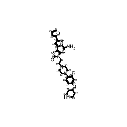 Nc1nc2c(sc(=O)n2CCN2CCN(c3ccc(OC4CCNCC4)cc3F)CC2)c2cc(-c3ccco3)nn12